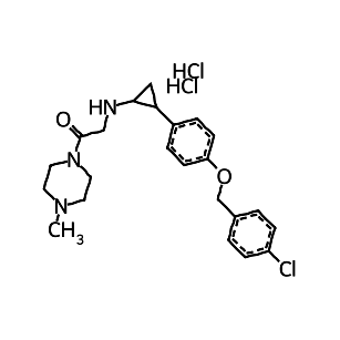 CN1CCN(C(=O)CNC2CC2c2ccc(OCc3ccc(Cl)cc3)cc2)CC1.Cl.Cl